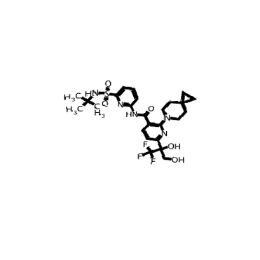 CC(C)(C)NS(=O)(=O)c1cccc(NC(=O)c2ccc(C(O)(CO)C(F)(F)F)nc2N2CCC3(CC2)CC3)n1